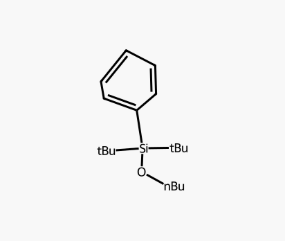 CCCCO[Si](c1ccccc1)(C(C)(C)C)C(C)(C)C